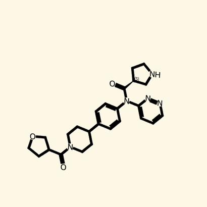 O=C(C1CCOC1)N1CCC(c2ccc(N(C(=O)[C@H]3CCNC3)c3cccnn3)cc2)CC1